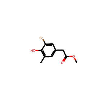 COC(=O)Cc1cc(C)c(O)c(Br)c1